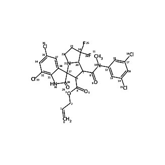 C=CCOC(=O)C1C(C(=O)N(C)c2cc(Cl)cc(Cl)c2)C2N(CCC2(F)F)C12C(=O)Nc1c(Cl)cc(Cl)cc12